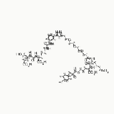 NCCCC[C@H](NC(=O)CCOCCOCCOCCn1cc(-c2cccc(NC(=O)NCCCC[C@H](NC(=O)N[C@@H](CCC(=O)O)C(=O)O)C(=O)O)c2)nn1)C(=O)N[C@@H](CCCCNC(=O)Cc1ccc(I)cc1)C(=O)O